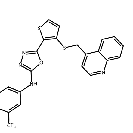 FC(F)(F)c1cccc(Nc2nnc(-c3sccc3SCc3ccnc4ccccc34)o2)c1